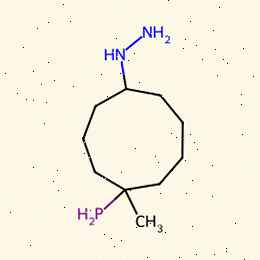 CC1(P)CCCCC(NN)CCC1